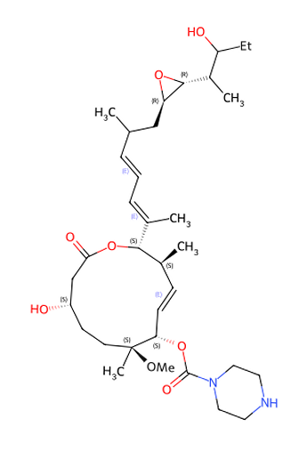 CCC(O)C(C)[C@H]1O[C@@H]1CC(C)/C=C/C=C(\C)[C@H]1OC(=O)C[C@@H](O)CC[C@](C)(OC)[C@@H](OC(=O)N2CCNCC2)/C=C/[C@@H]1C